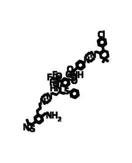 Cc1ncsc1-c1ccc(CN)c(CCCN2CCN(CC[C@H](CSc3ccccc3)Nc3ccc(S(=O)(=O)NC(=O)c4ccc(N5CCN(CC6=C(c7ccc(Cl)cc7)CCC(C)(C)C6)CC5)cc4)cc3S(=O)(=O)C(F)(F)F)CC2)c1